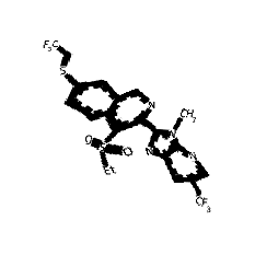 CCS(=O)(=O)c1c(-c2nc3cc(C(F)(F)F)cnc3n2C)ncc2cc(SCC(F)(F)F)ccc12